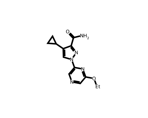 CCOc1cncc(-n2cc(C3CC3)c(C(N)=O)n2)n1